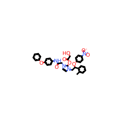 Cc1ccccc1C(CN1C=CN(CC(=O)Nc2ccc(Oc3ccccc3)cc2)C1OC(=O)CO)Oc1ccc([N+](=O)[O-])cc1